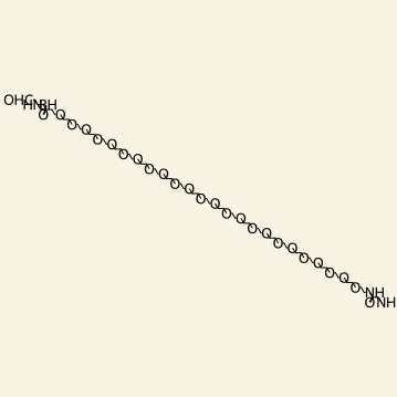 NCC(=O)NCCOCCOCCOCCOCCOCCOCCOCCOCCOCCOCCOCCOCCOCCOCCOCCOCCOCCOCCOCCOCCOCCOCCOCCOCCC(=O)BNCC=O